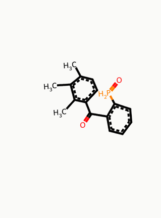 Cc1ccc(C(=O)c2ccccc2[PH2]=O)c(C)c1C